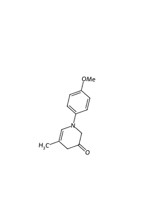 COc1ccc(N2C=C(C)CC(=O)C2)cc1